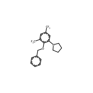 FC(F)(F)c1cc(N2CCCC2)c(OCc2ccccc2)c(C(F)(F)F)c1